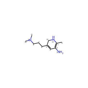 CC1=C(N)C=C(CCCN(C)C)CN1